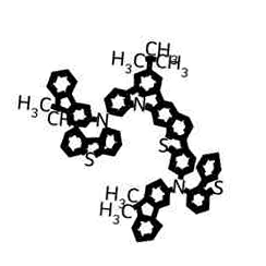 CC(C)(C)c1cc2c3ccc(N(c4ccc5c(c4)-c4ccccc4C5(C)C)c4cccc5sc6ccccc6c45)cc3n3c4cc5c(ccc6c7ccc(N(c8ccc9c(c8)-c8ccccc8C9(C)C)c8cccc9sc%10ccccc%10c89)cc7sc56)cc4c(c1)c23